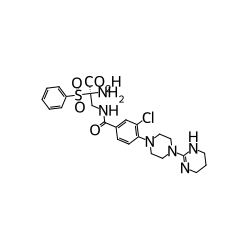 N[C@](CNC(=O)c1ccc(N2CCN(C3=NCCCN3)CC2)c(Cl)c1)(C(=O)O)S(=O)(=O)c1ccccc1